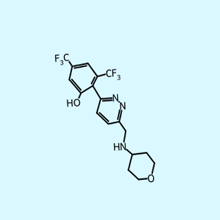 Oc1cc(C(F)(F)F)cc(C(F)(F)F)c1-c1ccc(CNC2CCOCC2)nn1